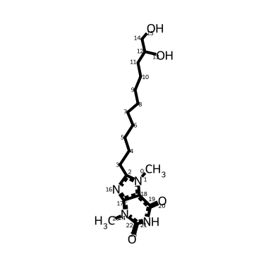 Cn1c(CCCCCCCCCC(O)CO)nc2c1c(=O)[nH]c(=O)n2C